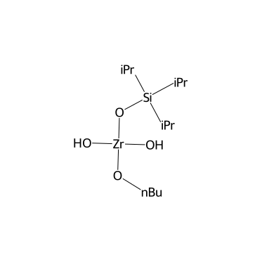 CCCC[O][Zr]([OH])([OH])[O][Si](C(C)C)(C(C)C)C(C)C